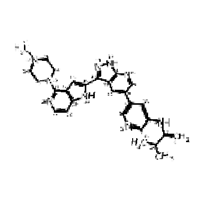 C=C(Nc1cncc(-c2cnc3[nH]nc(-c4cc5c(N6CCN(C)CC6)nccc5[nH]4)c3c2)c1)C(C)C